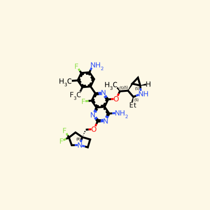 CC[C@@H]1N[C@H]2CC2[C@@H]1[C@H](C)Oc1nc(-c2cc(N)c(F)c(C)c2C(F)(F)F)c(F)c2nc(OC[C@]34CCN3CC(F)(F)C4)nc(N)c12